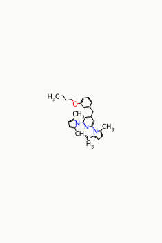 CCCCOc1cccc(Cc2cc(-n3c(C)ccc3C)nc(-n3c(C)ccc3C)c2)c1